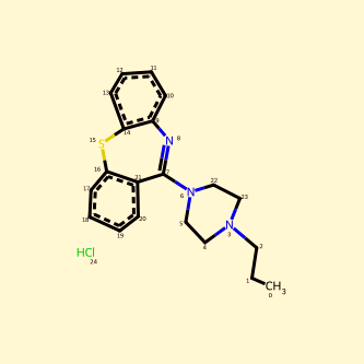 CCCN1CCN(C2=Nc3ccccc3Sc3ccccc32)CC1.Cl